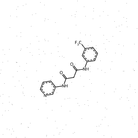 O=C(CC(=O)Nc1cccc(C(F)(F)F)c1)Nc1cccnc1